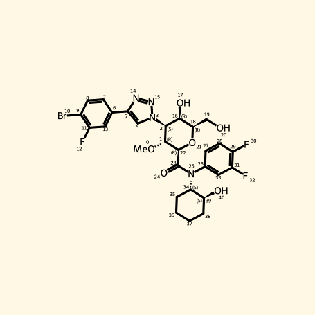 CO[C@@H]1[C@@H](n2cc(-c3ccc(Br)c(F)c3)nn2)[C@@H](O)[C@@H](CO)O[C@H]1C(=O)N(c1ccc(F)c(F)c1)[C@H]1CCCC[C@@H]1O